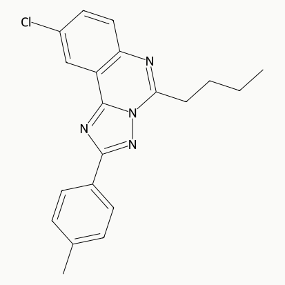 CCCCc1nc2ccc(Cl)cc2c2nc(-c3ccc(C)cc3)nn12